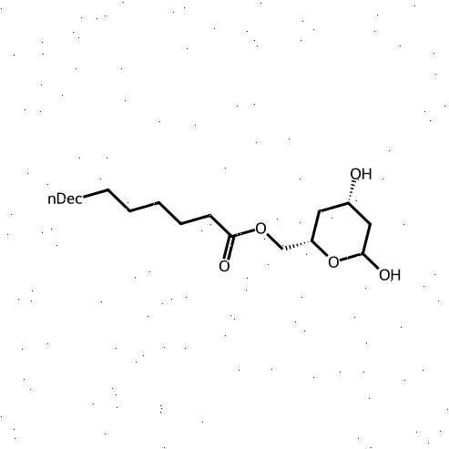 CCCCCCCCCCCCCCCC(=O)OC[C@@H]1C[C@H](O)CC(O)O1